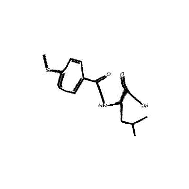 CSc1ccc(C(=O)NC(CC(C)C)C(=O)O)cc1